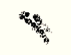 CC(C)c1ccccc1[C@H]1COCCN1C1CC2(CCN(c3ccc(C(=O)NS(=O)(=O)c4cc5c(c([N+](=O)[O-])c4)N[C@H](CN4CCOCC4)CO5)c(N4C[C@H](C)COc5nc6[nH]ccc6cc54)c3)CC2)C1